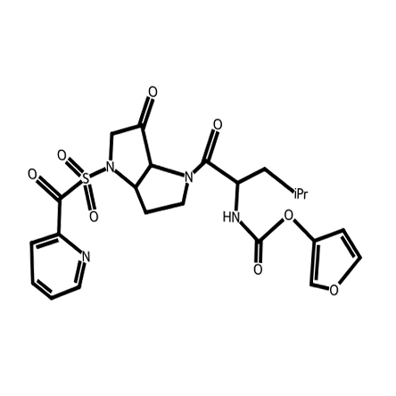 CC(C)CC(NC(=O)Oc1ccoc1)C(=O)N1CCC2C1C(=O)CN2S(=O)(=O)C(=O)c1ccccn1